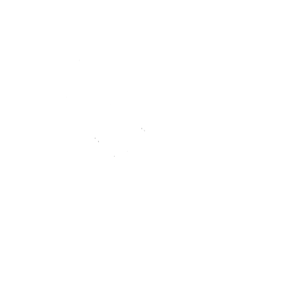 CN1C(=O)C(Cc2ccccc2-c2ccccc2)N=C(Cl)c2cc(Cl)ccc21